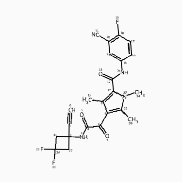 C#CC1(NC(=O)C(=O)c2c(C)c(C(=O)Nc3ccc(F)c(C#N)c3)n(C)c2C)CC(F)(F)C1